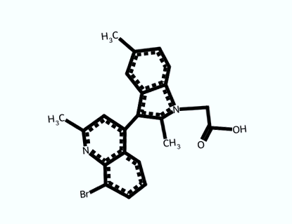 Cc1ccc2c(c1)c(-c1cc(C)nc3c(Br)cccc13)c(C)n2CC(=O)O